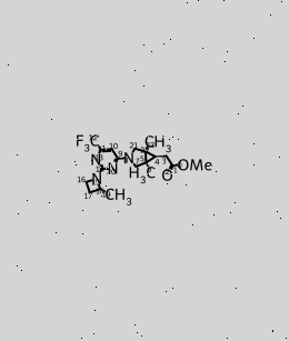 COC(=O)C[C@H]1[C@]2(C)CN(c3cc(C(F)(F)F)nc(N4CC[C@@H]4C)n3)C[C@]12C